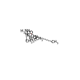 CCCCCCCCCCCCCN(Cc1ccc(Cn2c(CCCC)nc3c(N)nc4ccccc4c32)cc1)C(C)(C)C